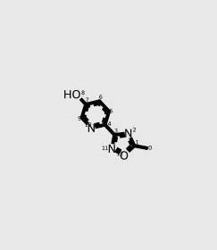 Cc1nc(-c2ccc(O)cn2)no1